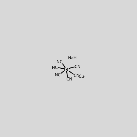 N#[C][Fe]([C]#N)([C]#N)([C]#N)([C]#N)[C]#N.[Cu].[NaH]